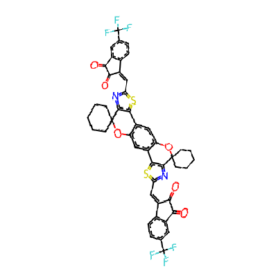 O=C1C(=O)c2cc(C(F)(F)F)ccc2/C1=C/c1nc2c(s1)-c1cc3c(cc1OC21CCCCC1)-c1sc(/C=C2\C(=O)C(=O)c4cc(C(F)(F)F)ccc42)nc1C1(CCCCC1)O3